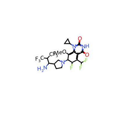 COC1=c2c(c(=O)[nH]c(=O)n2C2CC2)=C(C(F)F)C(F)C1N1CCC(C(N)C(C(F)(F)F)C(F)(F)F)C1